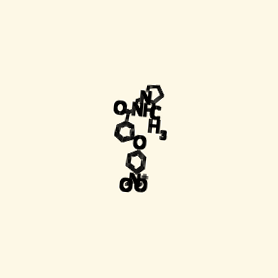 CC1CCCN1CNC(=O)c1cccc(Oc2ccc([N+](=O)[O-])cc2)c1